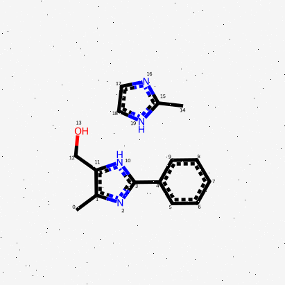 Cc1nc(-c2ccccc2)[nH]c1CO.Cc1ncc[nH]1